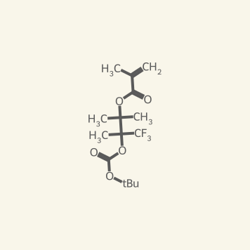 C=C(C)C(=O)OC(C)(C)C(C)(OC(=O)OC(C)(C)C)C(F)(F)F